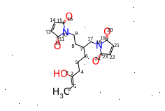 CC=C(O)CCCC(CCN1C(=O)C=CC1=O)CN1C(=O)C=CC1=O